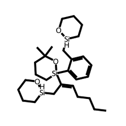 CCCCC=C(C[SiH]1CCCCO1)[Si]1(c2ccccc2C[SiH]2CCCCO2)CCCC(C)(C)O1